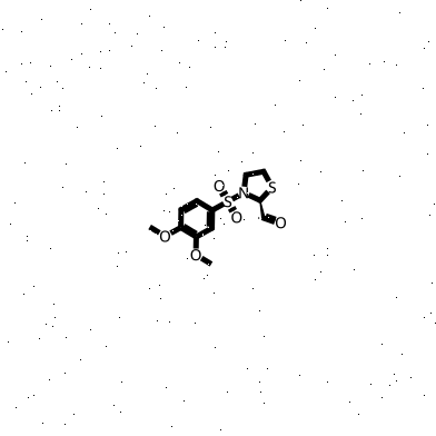 COc1ccc(S(=O)(=O)N2CCS[C@H]2[C]=O)cc1OC